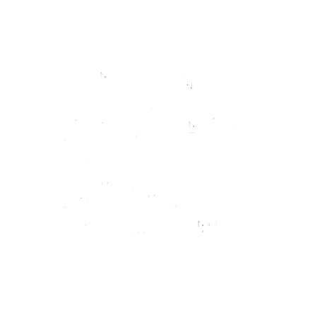 Cc1ccc2[nH]c([S+]([O-])Cc3nccc(OCCC4(C)OCC5(CO4)OCCO5)c3C)nc2c1.[NaH]